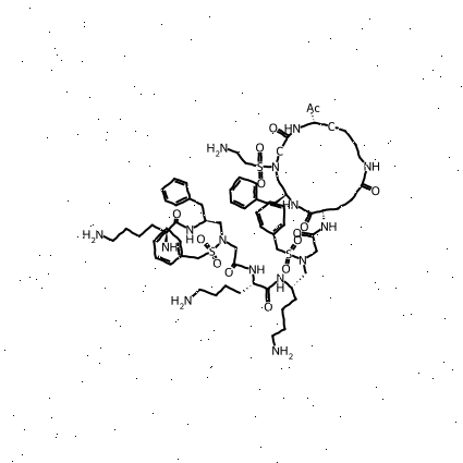 CC(=O)[C@@H]1CCCCNC(=O)CC[C@H](NC(=O)CN(C[C@H](CCCCN)NC(=O)[C@H](CCCCN)NC(=O)CN(C[C@H](Cc2ccccc2)NC(=O)[C@@H](N)CCCCN)S(=O)(=O)Cc2ccccc2)S(=O)(=O)Cc2ccccc2)C(=O)N[C@@H](Cc2ccccc2)CN(S(=O)(=O)CCN)CC(=O)N1